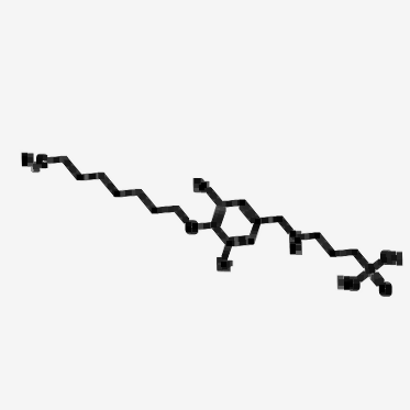 CCCCCCCCOc1c(Br)cc(CNCCCP(=O)(O)O)cc1Br